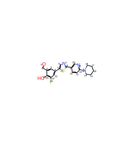 O=Cc1cc(-c2cnc(-c3ccc(N4CCCCC4)nc3)s2)cc(F)c1O